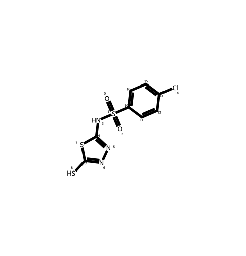 O=S(=O)(Nc1nnc(S)s1)c1ccc(Cl)cc1